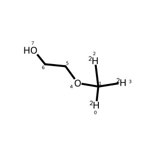 [2H]C([2H])([2H])OCCO